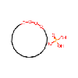 C1CCCCCCCOOOOCCCCCC1.O=P(O)(O)O